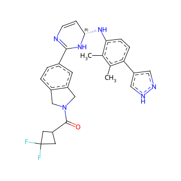 Cc1c(N[C@H]2C=CN=C(c3ccc4c(c3)CN(C(=O)C3CC(F)(F)C3)C4)N2)ccc(-c2cn[nH]c2)c1C